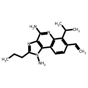 C=Cc1ccc2c(nc(N)c3nc(CCC)n(N)c32)c1C(C)C